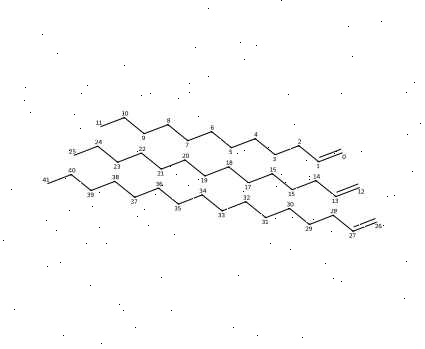 C=CCCCCCCCCCC.C=CCCCCCCCCCCCC.C=CCCCCCCCCCCCCCC